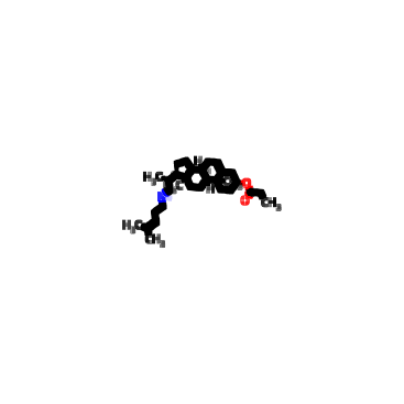 CCC(=O)O[C@H]1CC[C@@]2(C)C(=CC[C@H]3C4CC[C@H]([C@H](C)/C=N/CCC=C(C)C)[C@@]4(C)CC[C@@H]32)C1